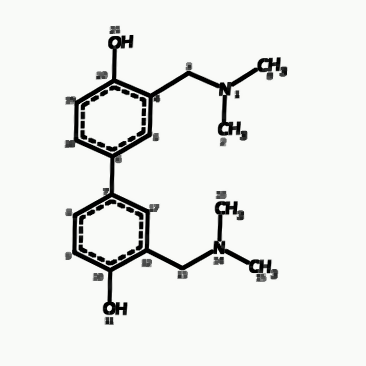 CN(C)Cc1cc(-c2ccc(O)c(CN(C)C)c2)ccc1O